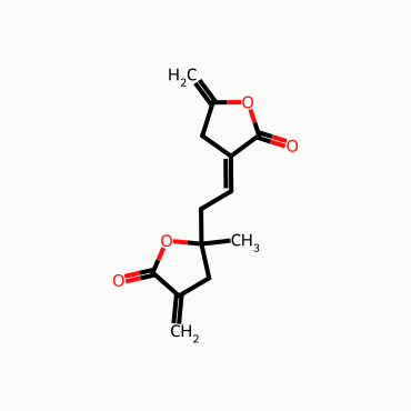 C=C1C/C(=C\CC2(C)CC(=C)C(=O)O2)C(=O)O1